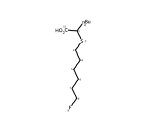 CCCCC(SCCCCCCF)C(=O)O